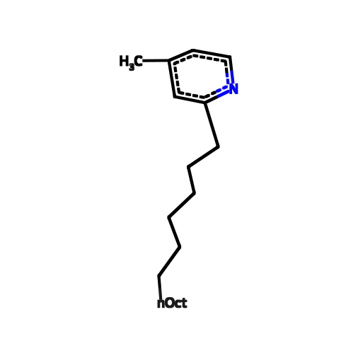 CCCCCCCCCCCCCCc1cc(C)ccn1